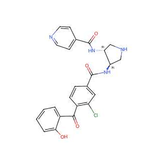 O=C(N[C@@H]1CNC[C@H]1NC(=O)c1ccc(C(=O)c2ccccc2O)c(Cl)c1)c1ccncc1